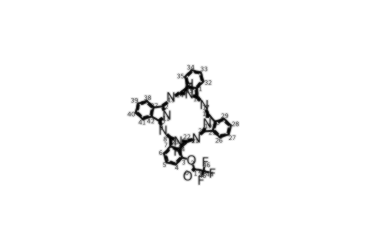 O=C(Oc1cccc2c3nc4nc(nc5[nH]c(nc6nc(nc([nH]3)c12)-c1ccccc1-6)c1ccccc51)-c1ccccc1-4)C(F)(F)F